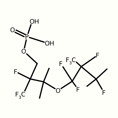 CC(C)(F)C(F)(C(F)(F)F)C(F)(F)OC(C)(C)C(F)(COP(=O)(O)O)C(F)(F)F